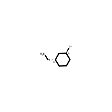 CC[C@H]1CCC[C@H](CN)C1